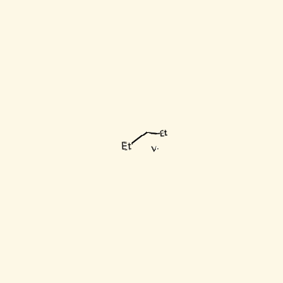 CCCCC.[V]